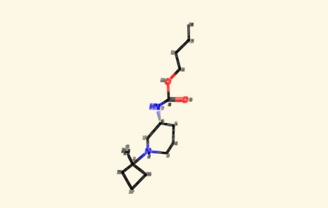 [2H]C1(N2CCC[C@@H](NC(=O)OCCCC)C2)CCC1